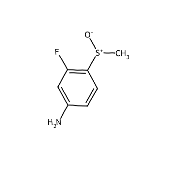 C[S+]([O-])c1ccc(N)cc1F